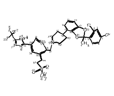 CC1(c2ccc(Cl)cc2F)Oc2cccc(C3CCN(Cc4ncc(-c5nnc(C(F)(F)F)[nH]5)cc4CCS(C)(=O)=O)CC3)c2O1